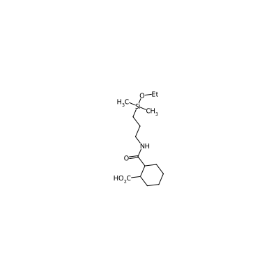 CCO[Si](C)(C)CCCNC(=O)C1CCCCC1C(=O)O